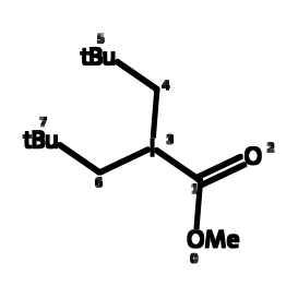 COC(=O)I(CC(C)(C)C)CC(C)(C)C